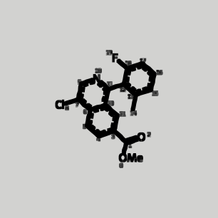 COC(=O)c1ccc2c(Cl)cnc(-c3c(C)cccc3F)c2c1